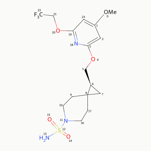 COc1cc(OC[C@H]2CC23CCN(S(N)(=O)=O)CC3)nc(OCC(F)(F)F)c1